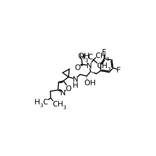 CC(C)Cc1cc(C2(NC[C@@H](O)[C@H](Cc3cc(F)cc(F)c3)N(C(=O)O)C(C)(C)C)CC2)on1